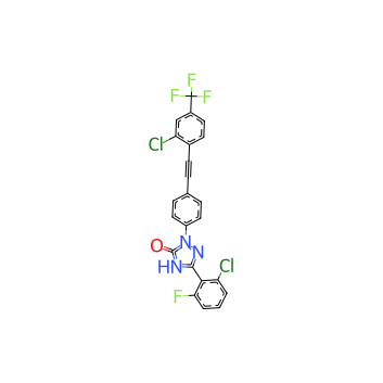 O=c1[nH]c(-c2c(F)cccc2Cl)nn1-c1ccc(C#Cc2ccc(C(F)(F)F)cc2Cl)cc1